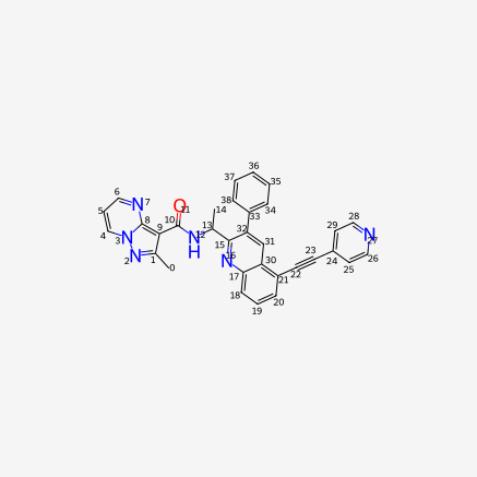 Cc1nn2cccnc2c1C(=O)NC(C)c1nc2cccc(C#Cc3ccncc3)c2cc1-c1ccccc1